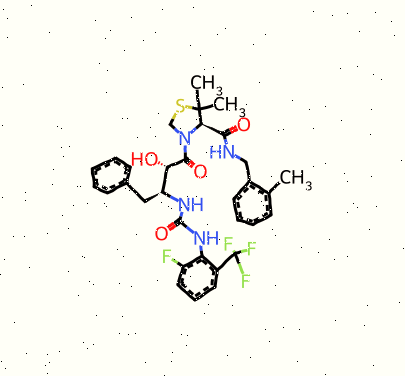 Cc1ccccc1CNC(=O)[C@H]1N(C(=O)[C@@H](O)[C@H](Cc2ccccc2)NC(=O)Nc2c(F)cccc2C(F)(F)F)CSC1(C)C